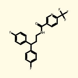 O=C(NCCC(c1ccc(F)cc1)c1ccc(F)cc1)c1ccc(C(F)(F)F)nc1